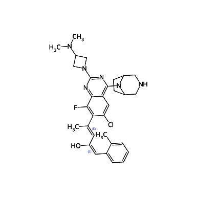 C/C(=C\C(O)=C/c1ccccc1C)c1c(Cl)cc2c(N3C4CCC3CNC4)nc(N3CC(N(C)C)C3)nc2c1F